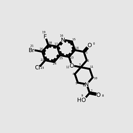 O=C1CC2(CCN(C(=O)O)CC2)Oc2c1cnc1c(F)c(Br)c(Cl)cc21